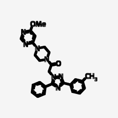 COc1cc(N2CCN(C(=O)Cn3nc(-c4cccc(C)c4)nc3-c3ccccc3)CC2)ncn1